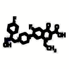 CCn1cc(C(=O)O)c(=O)c2cc(F)c(N3CCN(C/C(=N\O)c4ccc(F)cc4)CC3)cc21